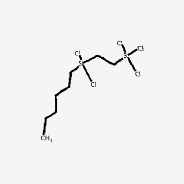 CCCCCC[Si](Cl)(Cl)CC[Si](Cl)(Cl)Cl